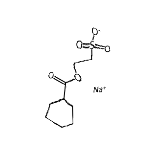 O=C(OCCS(=O)(=O)[O-])C1CCCCC1.[Na+]